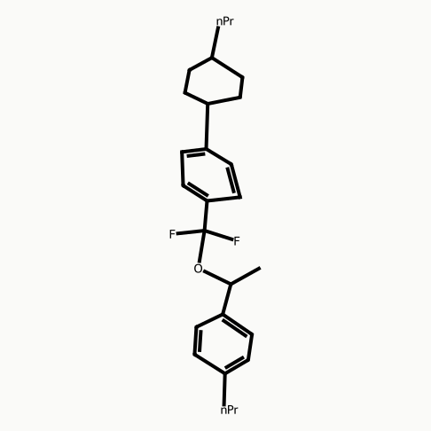 CCCc1ccc(C(C)OC(F)(F)c2ccc(C3CCC(CCC)CC3)cc2)cc1